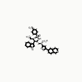 C=CCC(c1c[nH]c2ccccc12)[C@@H](CN(C(=O)O)c1cc(-c2ccc3cnccc3c2)no1)NS(=O)(=O)c1ccc([N+](=O)[O-])cc1